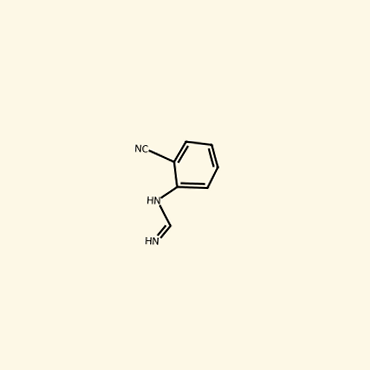 N#Cc1ccccc1NC=N